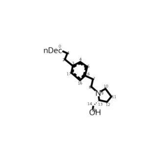 CCCCCCCCCCCCc1ccc(CCN2CCC[C@@H]2CO)cc1